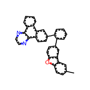 Cc1ccc2oc3ccc(-c4ccccc4-c4ccc5c(c4)c4ccccc4c4nccnc54)cc3c2c1